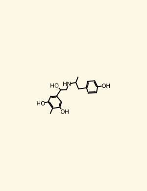 Cc1c(O)cc(C(O)CNC(C)Cc2ccc(O)cc2)cc1O